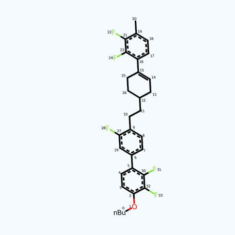 CCCCOc1ccc(-c2ccc(CCC3CC=C(c4ccc(C)c(F)c4F)CC3)c(F)c2)c(F)c1F